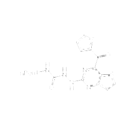 CCCCCNC(=O)NNc1nc(C(=O)c2cccs2)c2sccc2n1